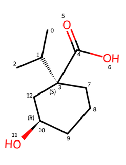 CC(C)[C@]1(C(=O)O)CCC[C@@H](O)C1